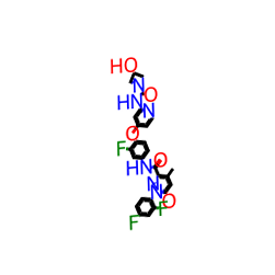 Cc1cc(=O)n(-c2ccc(F)cc2F)nc1C(=O)Nc1ccc(Oc2ccnc(NC(=O)N3CC(O)C3)c2)c(F)c1